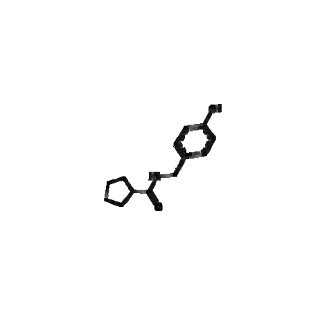 O=C(NCc1ccc(O)cc1)C1CCCC1